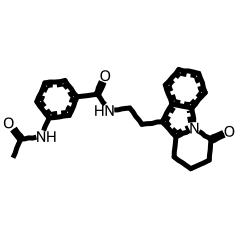 CC(=O)Nc1cccc(C(=O)NCCc2c3n(c4ccccc24)C(=O)CCC3)c1